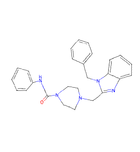 O=C(Nc1ccccc1)N1CCN(Cc2nc3ccccc3n2Cc2ccccc2)CC1